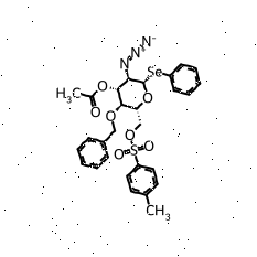 CC(=O)O[C@@H]1[C@@H](N=[N+]=[N-])[C@@H]([Se]c2ccccc2)O[C@H](COS(=O)(=O)c2ccc(C)cc2)[C@H]1OCc1ccccc1